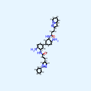 Nc1ccc(-c2ccc(N)c(NC(=O)/C=C/c3cc4ccccn4n3)c2)cc1NC(=O)/C=C/c1cnn(-c2ccccc2)c1